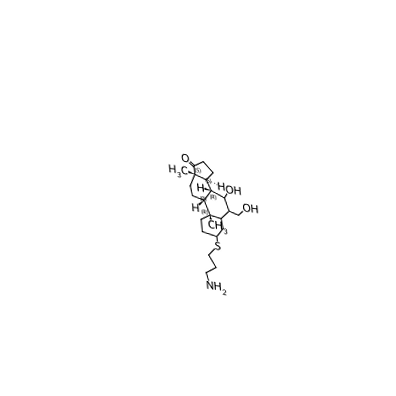 C[C@]12CCC(SCCCN)CC1C(CO)C(O)[C@@H]1[C@H]2CC[C@]2(C)C(=O)CC[C@@H]12